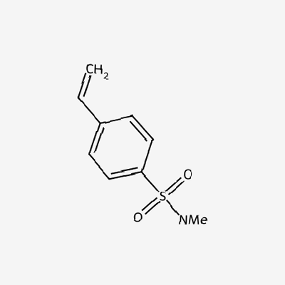 C=Cc1ccc(S(=O)(=O)NC)cc1